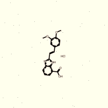 COc1ccc(C=Cc2nc3cccc(C(=O)O)c3[nH]2)cc1OC.Cl